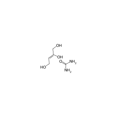 NC(N)=O.OCC=C(O)CO